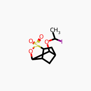 CC(I)OC1C2CC3C1OS(=O)(=O)C3C2